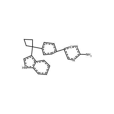 Nc1ncc(-c2ccc(C3(c4c[nH]c5ccccc45)CCC3)cc2)cn1